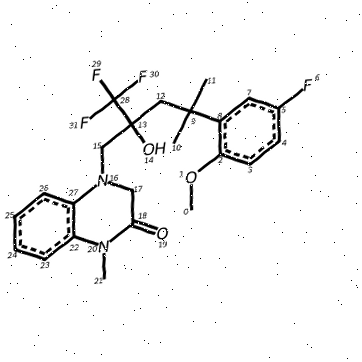 COc1ccc(F)cc1C(C)(C)CC(O)(CN1CC(=O)N(C)c2ccccc21)C(F)(F)F